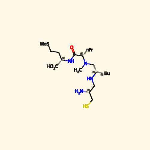 CCC[C@@H](C(=O)N[C@@H](CCSC)C(=O)O)N(C)C[C@@H](NC[C@@H](N)CS)[C@@H](C)CC